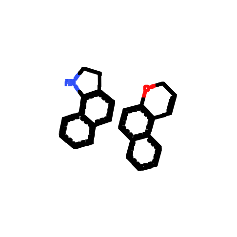 C1=Cc2c(ccc3ccccc23)OC1.c1ccc2c3c(ccc2c1)CCN3